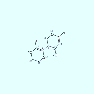 CC1=C[S+]([O-])C(C2=C(C)OCCS2)CO1